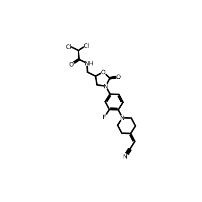 N#CC=C1CCN(c2ccc(N3CC(CNC(=O)C(Cl)Cl)OC3=O)cc2F)CC1